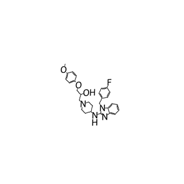 COc1ccc(OCC(O)CN2CCC(Nc3nc4ccccc4n3Cc3ccc(F)cc3)CC2)cc1